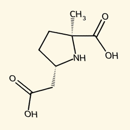 C[C@@]1(C(=O)O)CC[C@@H](CC(=O)O)N1